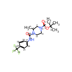 CC1CN(C(=O)OC(C)(C)C)CCN1C(=O)Nc1ccc(C(F)(F)F)cc1